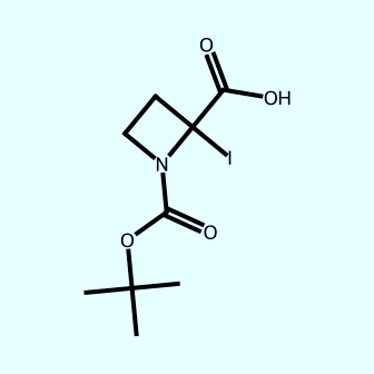 CC(C)(C)OC(=O)N1CCC1(I)C(=O)O